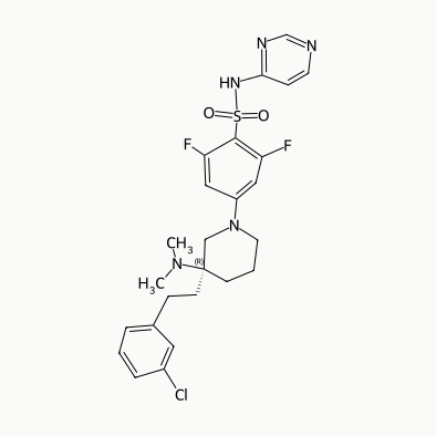 CN(C)[C@]1(CCc2cccc(Cl)c2)CCCN(c2cc(F)c(S(=O)(=O)Nc3ccncn3)c(F)c2)C1